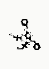 CC(C)(C)CC(C)(C)C(=O)O[C@@H](C(=O)OCc1ccccc1)[C@@H](OC(=O)C(C)(C)CC(C)(C)C)C(=O)OCc1ccccc1